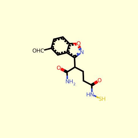 NC(=O)C(CCC(=O)NS)c1noc2ccc(C=O)cc12